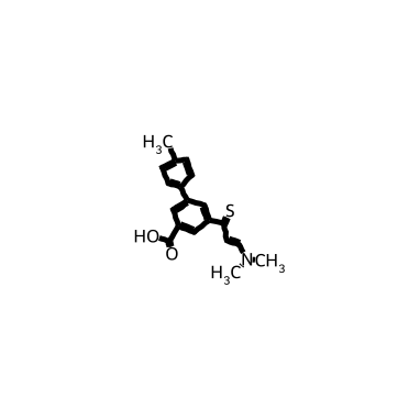 Cc1ccc(-c2cc(C(=O)O)cc(C(=S)/C=C/N(C)C)c2)cc1